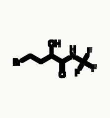 O=C(NC(F)(F)F)C(O)CCBr